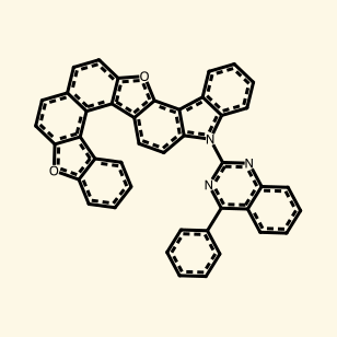 c1ccc(-c2nc(-n3c4ccccc4c4c5oc6ccc7ccc8oc9ccccc9c8c7c6c5ccc43)nc3ccccc23)cc1